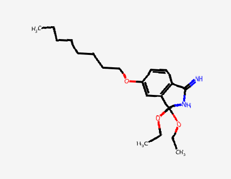 CCCCCCCCOc1ccc2c(c1)C(OCC)(OCC)NC2=N